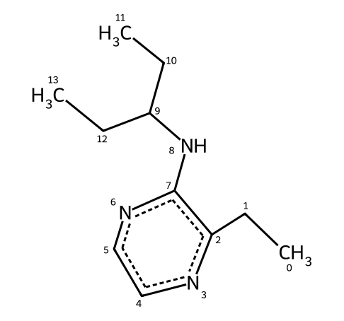 CCc1nccnc1NC(CC)CC